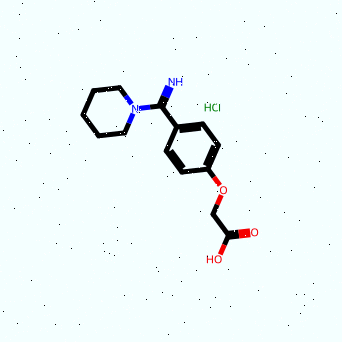 Cl.N=C(c1ccc(OCC(=O)O)cc1)N1CCCCC1